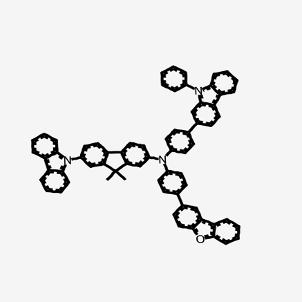 CC1(C)c2cc(N(c3ccc(-c4ccc5oc6ccccc6c5c4)cc3)c3ccc(-c4ccc5c6ccccc6n(-c6ccccc6)c5c4)cc3)ccc2-c2ccc(-n3c4ccccc4c4ccccc43)cc21